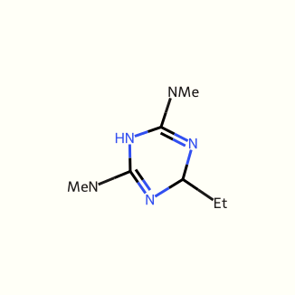 CCC1N=C(NC)NC(NC)=N1